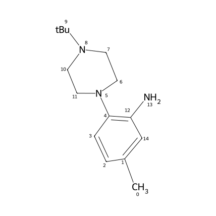 Cc1ccc(N2CCN(C(C)(C)C)CC2)c(N)c1